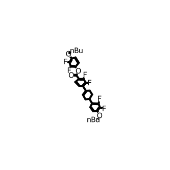 CCCCOc1ccc(OC(=O)c2ccc(C3=CCC(c4ccc(OCCCC)c(F)c4F)CC3)c(F)c2F)c(F)c1F